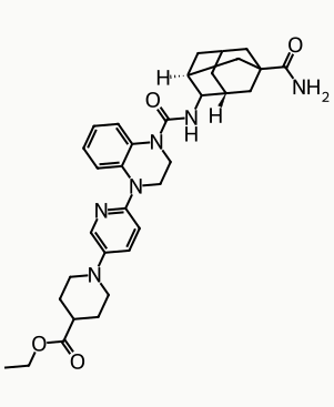 CCOC(=O)C1CCN(c2ccc(N3CCN(C(=O)NC4[C@@H]5CC6C[C@H]4CC(C(N)=O)(C6)C5)c4ccccc43)nc2)CC1